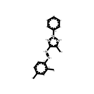 Cc1ccc(/N=N/c2nn(-c3ccccc3)nc2C)c(C)c1